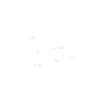 Nc1nc2c(c3[nH]c(O)nc13)CCCN2